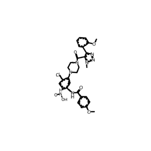 COc1ccc(C(=O)Nc2cc(N3CCN(C(=O)c4c(-c5ccccc5OC)nnn4C)CC3)c(Cl)cc2[NH+]([O-])O)cc1